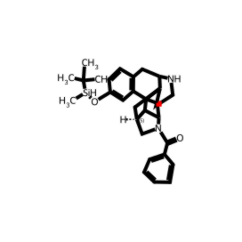 C[SiH](Oc1ccc2c(c1)C13CCNC(C2)C12CCC1C3[C@@H](CN1C(=O)c1ccccc1)C2)C(C)(C)C